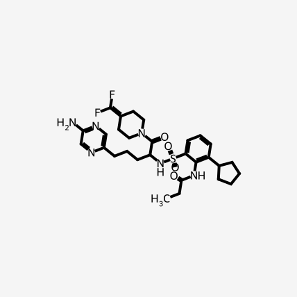 CCC(=O)Nc1c(C2CCCC2)cccc1S(=O)(=O)NC(CCCc1cnc(N)cn1)C(=O)N1CCC(=C(F)F)CC1